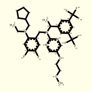 CCN(CC1CCCC1)c1cc(F)c(F)cc1CN(c1ncc(OCCSC)cn1)C(C)c1cc(C(F)(F)F)cc(C(F)(F)F)c1